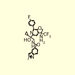 Cn1cc2cc(C(=O)NC[C@](O)(c3cc4c(c(-c5ccc(F)cc5)n3)OC[C@@]4(N)C(F)(F)F)C3CC3)ccc2n1